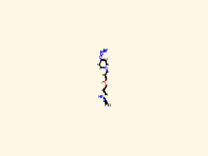 C#CNCCCOCCCN1CCC(N=[N+]=[N-])CC1